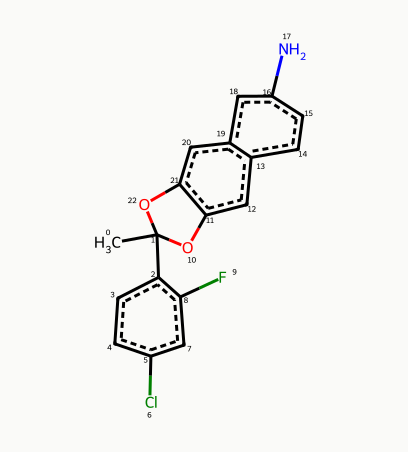 CC1(c2ccc(Cl)cc2F)Oc2cc3ccc(N)cc3cc2O1